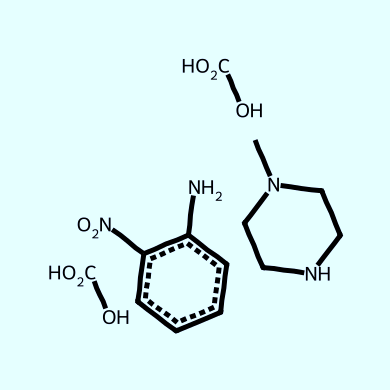 CN1CCNCC1.Nc1ccccc1[N+](=O)[O-].O=C(O)O.O=C(O)O